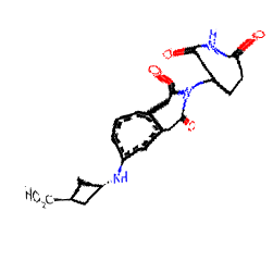 O=C1CCC(N2C(=O)c3ccc(N[C@H]4C[C@H](C(=O)O)C4)cc3C2=O)C(=O)N1